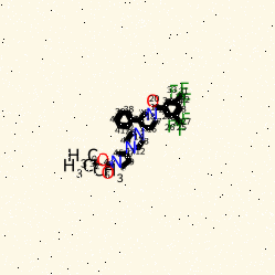 CC(C)(C)OC(=O)N1CCC(N2CCN(C3CCN(C(=O)c4cc(C(F)(F)F)cc(C(F)(F)F)c4)CC3c3ccccc3)CC2)C1